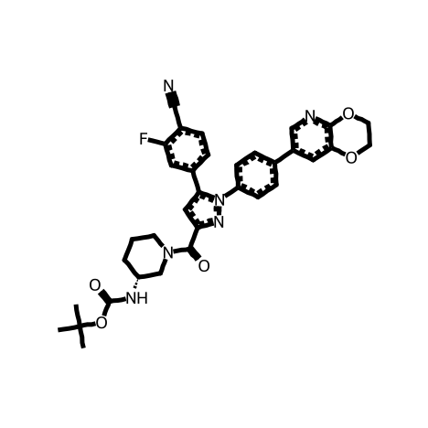 CC(C)(C)OC(=O)N[C@@H]1CCCN(C(=O)c2cc(-c3ccc(C#N)c(F)c3)n(-c3ccc(-c4cnc5c(c4)OCCO5)cc3)n2)C1